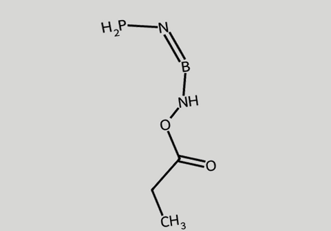 CCC(=O)ON/B=N/P